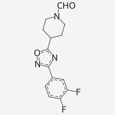 O=CN1CCC(c2nc(-c3ccc(F)c(F)c3)no2)CC1